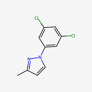 Cc1c[c]n(-c2cc(Cl)cc(Cl)c2)n1